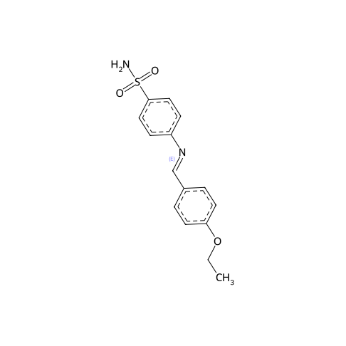 CCOc1ccc(/C=N/c2ccc(S(N)(=O)=O)cc2)cc1